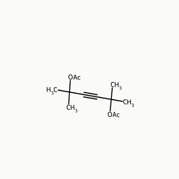 CC(=O)OC(C)(C)C#CC(C)(C)OC(C)=O